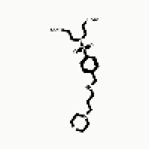 COCCN(CCOC)S(=O)(=O)c1ccc(CNCCCN2CCOCC2)cc1